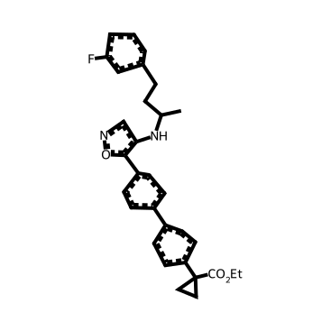 CCOC(=O)C1(c2ccc(-c3ccc(-c4oncc4NC(C)CCc4cccc(F)c4)cc3)cc2)CC1